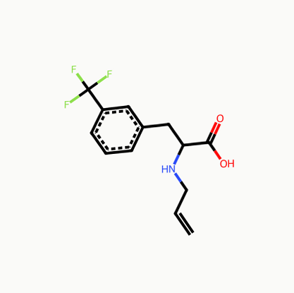 C=CCNC(Cc1cccc(C(F)(F)F)c1)C(=O)O